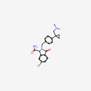 CN(C)CC1(c2ccc(CN3C(=O)c4[c]cc(Cl)cc4C3C(N)=O)cc2)CC1